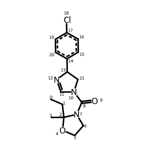 CCC1(C)OCCN1C(=O)N1C=NC(c2ccc(Cl)cc2)C1